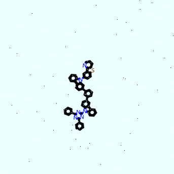 c1ccc(-c2nc(-c3ccccc3)nc(-n3c4ccccc4c4cc(-c5cccc(-c6ccc7c8ccccc8n(-c8ccc9sc%10cccnc%10c9c8)c7c6)c5)ccc43)n2)cc1